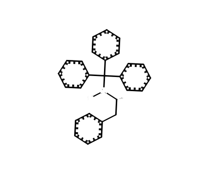 [3H]N([C@H]([C]=O)Cc1ccccc1)C(c1ccccc1)(c1ccccc1)c1ccccc1